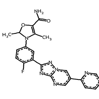 CC1=C(C(N)=O)OC(C)N1c1ccc(F)c(-c2nc3ncc(-c4ccccn4)cn3n2)c1